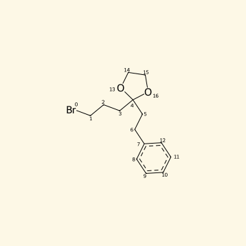 BrCCCC1(CCc2ccccc2)OCCO1